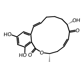 C[C@H]1C/C=C\C(=O)[C@@H](O)CCC/C=C/c2cc(O)cc(O)c2C(=O)O1